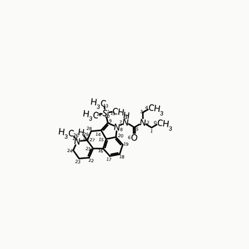 CCN(CC)C(=O)Nn1c([Si](C)(C)C)c2c3c(cccc31)C1=CCCN(C)[C@@H]1C2